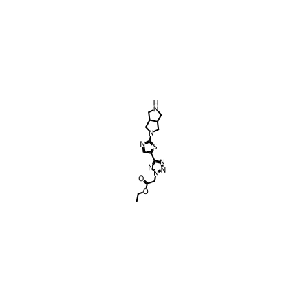 CCOC(=O)Cn1nnc(-c2cnc(N3CC4CNCC4C3)s2)n1